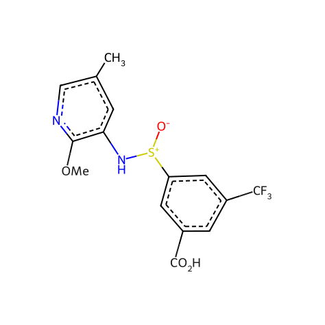 COc1ncc(C)cc1N[S+]([O-])c1cc(C(=O)O)cc(C(F)(F)F)c1